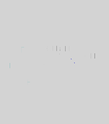 C=C(/C=C\N(C)C)C(F)(F)F